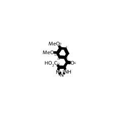 COc1ccc(C(=O)c2[nH]nnc2C(=O)O)cc1OC